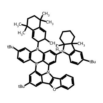 CC1C=C2C(=CC1N1c3cc(C(C)(C)C)ccc3B3c4c1cc(N1c5ccc(C(C)(C)C)cc5C5(C)CCCCC15C)cc4-n1c4c3cc(C(C)(C)C)cc4c3oc4ccccc4c31)C(C)(C)CCC2(C)C